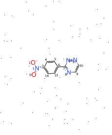 O=[N+]([O-])c1ccc(-c2nccnn2)cc1